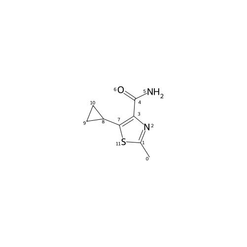 Cc1nc(C(N)=O)c(C2CC2)s1